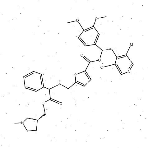 COc1ccc([C@H](Cc2c(Cl)cncc2Cl)OC(=O)c2ccc(CNC(C(=O)OC[C@H]3CCN(C)C3)c3ccccc3)s2)cc1OC